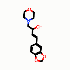 OC(/C=C/c1ccc2c(c1)OCO2)CN1CCOCC1